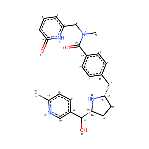 CN(Cc1cccc(=O)[nH]1)C(=O)c1ccc(C[C@@H]2CC[C@H](C(O)c3ccc(Cl)nc3)N2)cc1